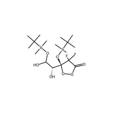 CC(C)(C)[Si](C)(C)OC(O)[C@@H](O)[C@@]1(O[Si](C)(C)C(C)(C)C)OOC(=O)C1(F)F